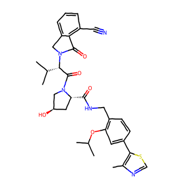 Cc1ncsc1-c1ccc(CNC(=O)[C@@H]2C[C@@H](O)CN2C(=O)[C@H](C(C)C)N2Cc3cccc(C#N)c3C2=O)c(OC(C)C)c1